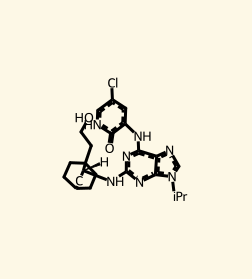 CC(C)n1cnc2c(Nc3cc(Cl)c[nH]c3=O)nc(N[C@@H]3CC4CCC3(CCO)CC4)nc21